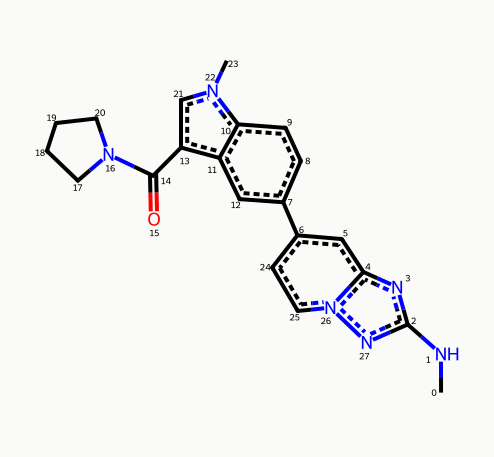 CNc1nc2cc(-c3ccc4c(c3)c(C(=O)N3CCCC3)cn4C)ccn2n1